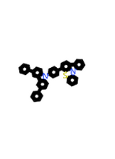 c1ccc(-c2ccc3c(c2)c2cc(-c4ccccc4)ccc2n3-c2ccc(-c3ccc4c5ccccc5n5c4c3Sc3ccccc3-5)cc2)cc1